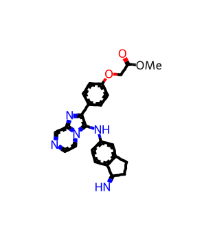 COC(=O)COc1ccc(-c2nc3cnccn3c2Nc2ccc3c(c2)CCC3=N)cc1